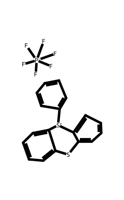 F[P-](F)(F)(F)(F)F.c1ccc([S+]2c3ccccc3Sc3ccccc32)cc1